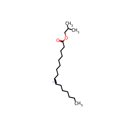 CCCCCC/C=C\CCCCCCCC(=O)OCC(C)C